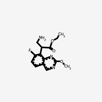 CCOC(=O)C(CN)c1c(F)ccc2cnc(OC)nc12